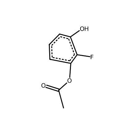 CC(=O)Oc1cccc(O)c1F